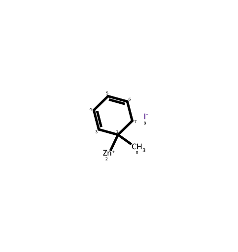 C[C]1([Zn+])C=CC=CC1.[I-]